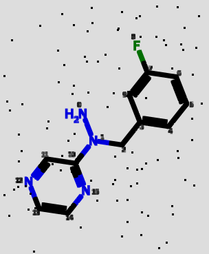 NN(Cc1cccc(F)c1)c1cnccn1